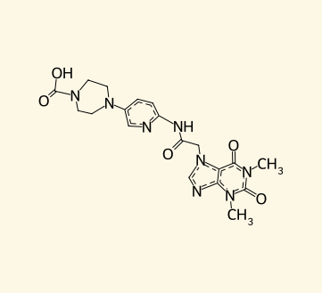 Cn1c(=O)c2c(ncn2CC(=O)Nc2ccc(N3CCN(C(=O)O)CC3)cn2)n(C)c1=O